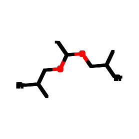 [CH2]C(OCC(C)C(C)C)OCC(C)C(C)C